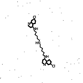 Clc1ccc2c(NCCCCCCNCCCCCCNc3ccnc4cc(Cl)ccc34)ccnc2c1